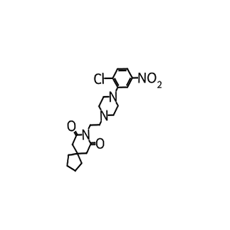 O=C1CC2(CCCC2)CC(=O)N1CCN1CCN(c2cc([N+](=O)[O-])ccc2Cl)CC1